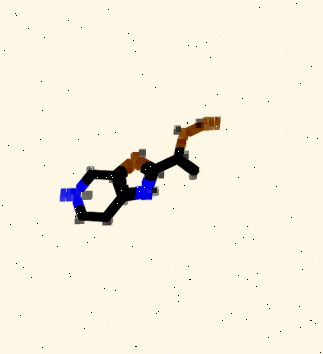 CC(SS)c1nc2c(s1)CNCC2